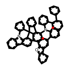 c1ccc(-c2ccccc2-c2ccccc2N(c2ccccc2-c2ccc3oc4ccccc4c3c2)c2cccc3c2-c2ccccc2C32c3ccccc3-n3c4ccccc4c4cccc2c43)cc1